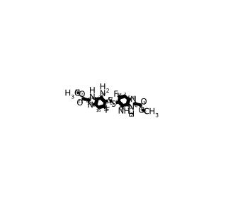 COC(=O)c1nc2cc(F)c(SSc3c(F)cc4nc(C(=O)OC)[nH]c4c3N)c(N)c2[nH]1